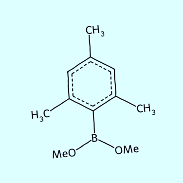 COB(OC)c1c(C)cc(C)cc1C